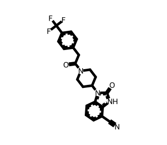 N#Cc1cccc2c1[nH]c(=O)n2C1CCN(C(=O)Cc2ccc(C(F)(F)F)cc2)CC1